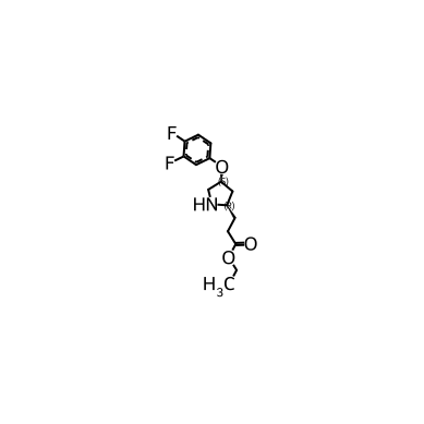 CCOC(=O)CC[C@@H]1C[C@H](Oc2ccc(F)c(F)c2)CN1